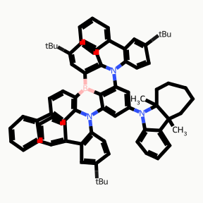 CC(C)(C)c1ccc2c(c1)B1c3ccc(-c4ccccc4)cc3N(c3ccc(C(C)(C)C)cc3-c3ccccc3)c3cc(N4c5ccccc5C5(C)CCCCCC45C)cc(c31)N2c1ccc(C(C)(C)C)cc1-c1ccccc1